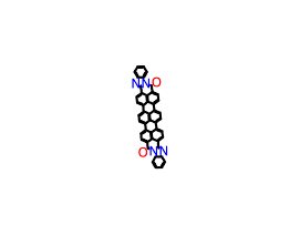 O=c1c2ccc3c4ccc5c6ccc7c8c(ccc(c9ccc(c%10ccc(c%11n1C1C=CC=CC1N=%11)c2c%103)c4c95)c68)c(=O)n1c2ccccc2nc71